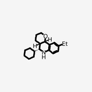 CCc1ccc2c(c1)[C@H]1OCCC[C@H]1[C@@H](C1CCCCC1)N2